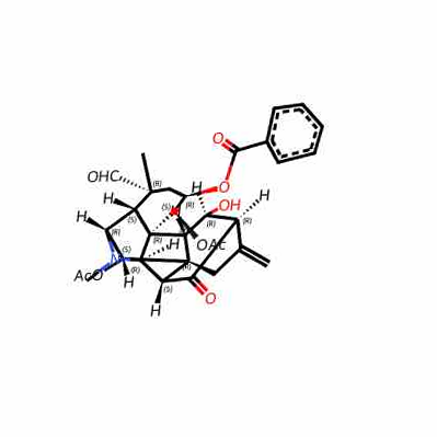 C=C1C[C@@]23[C@H](OC(C)=O)[C@H]4[C@H]5[C@@]6([C@H](OC(C)=O)[C@H](OC(=O)c7ccccc7)C[C@@]5(C)C=O)[C@@H]2[C@@H](O)[C@@H]1C(=O)[C@@H]3[C@H]6N4C